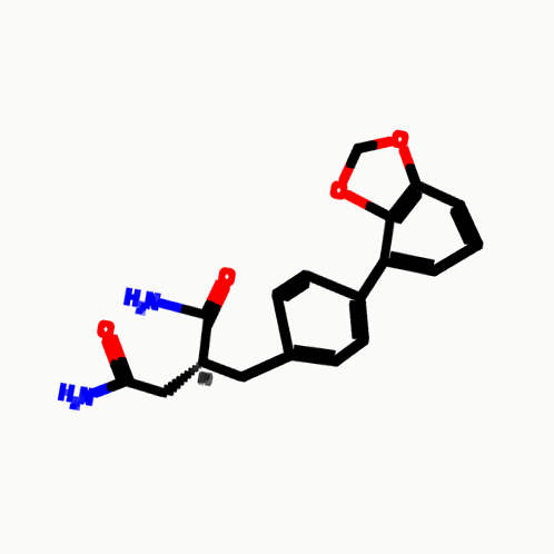 NC(=O)C[C@@H](Cc1ccc(-c2cccc3c2OCO3)cc1)C(N)=O